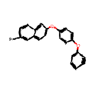 [CH2]C(C)c1ccc2cc(Oc3ccc(Oc4ccccc4)cc3)ccc2c1